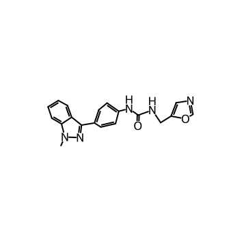 Cn1nc(-c2ccc(NC(=O)NCc3cnco3)cc2)c2ccccc21